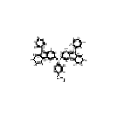 Cc1ccc(N(c2ccc3c(c2)c2c(n3-c3ccccc3)CCC=C2)c2ccc3c(c2)c2ccccc2n3-c2ccccc2)cc1